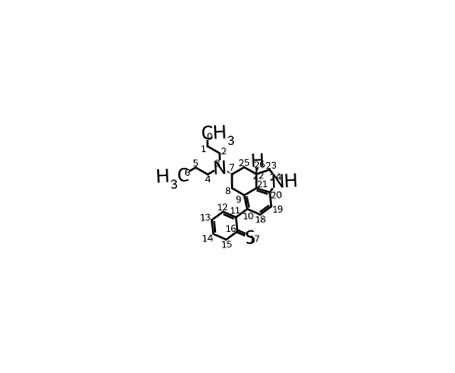 CCCN(CCC)[C@H]1Cc2c(C3=CC=CCC3=S)ccc3c2[C@@H](CN3)C1